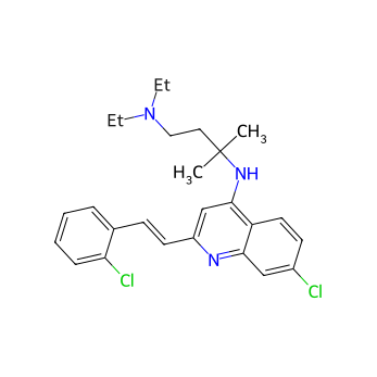 CCN(CC)CCC(C)(C)Nc1cc(/C=C/c2ccccc2Cl)nc2cc(Cl)ccc12